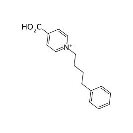 O=C(O)c1cc[n+](CCCCc2ccccc2)cc1